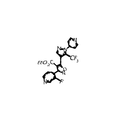 CCOC(=O)c1c(-c2ccncc2F)noc1-c1cnn(-c2ccncc2)c1C(F)(F)F